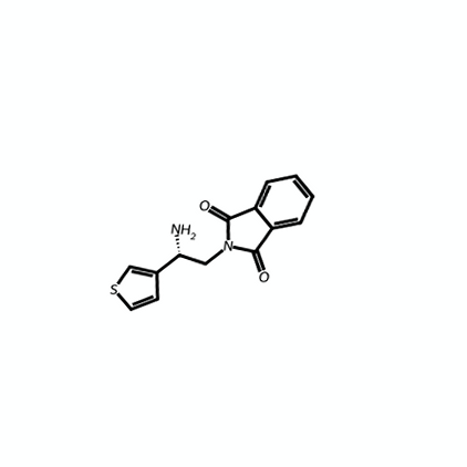 N[C@H](CN1C(=O)c2ccccc2C1=O)c1ccsc1